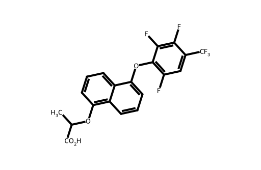 CC(Oc1cccc2c(Oc3c(F)cc(C(F)(F)F)c(F)c3F)cccc12)C(=O)O